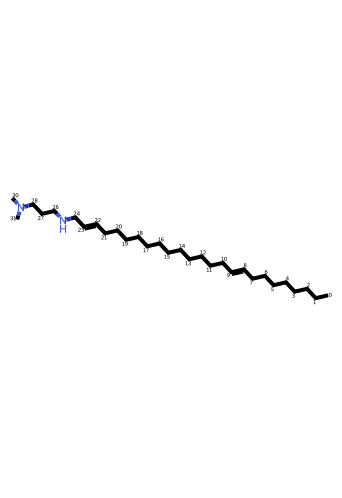 CCCCCCCCC=CCCCCCCCCCCCCC=CCNCCCN(C)C